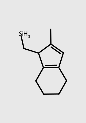 CC1=[C]C2=C(CCCC2)C1C[SiH3]